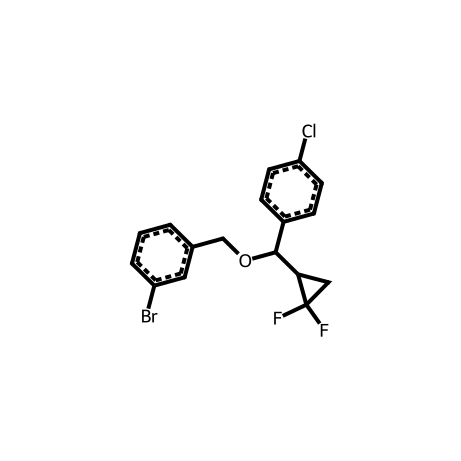 FC1(F)CC1C(OCc1cccc(Br)c1)c1ccc(Cl)cc1